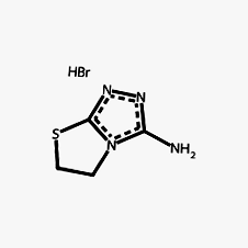 Br.Nc1nnc2n1CCS2